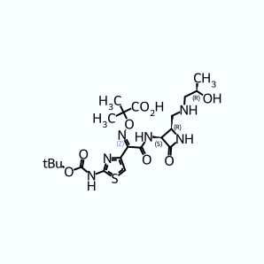 C[C@@H](O)CNC[C@H]1NC(=O)[C@H]1NC(=O)/C(=N\OC(C)(C)C(=O)O)c1csc(NC(=O)OC(C)(C)C)n1